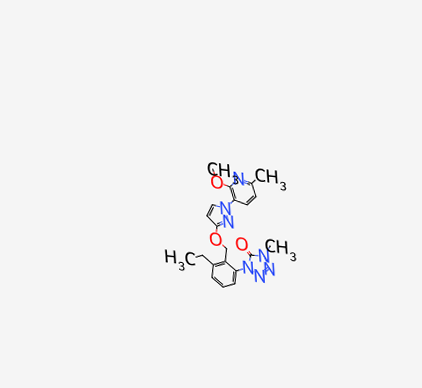 CCc1cccc(-n2nnn(C)c2=O)c1COc1ccn(-c2ccc(C)nc2OC)n1